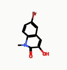 Cn1c(=O)c(O)cc2cc(Br)ccc21